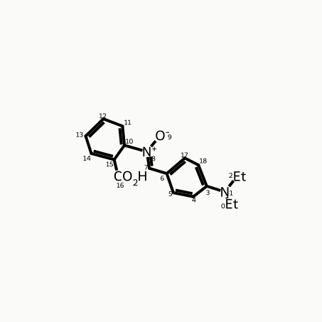 CCN(CC)c1ccc(C=[N+]([O-])c2ccccc2C(=O)O)cc1